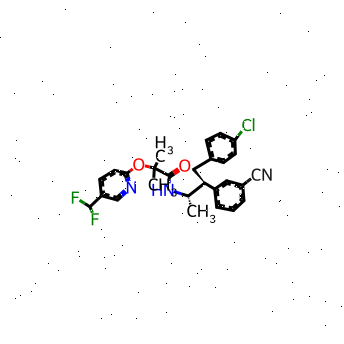 C[C@H](NC(=O)C(C)(C)Oc1ccc(C(F)F)cn1)[C@@H](Cc1ccc(Cl)cc1)c1cccc(C#N)c1